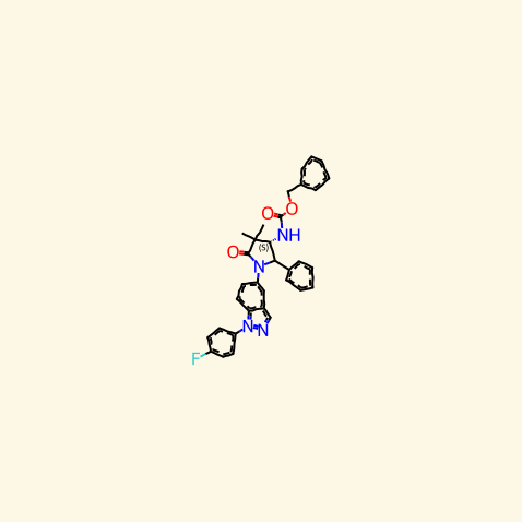 CC1(C)C(=O)N(c2ccc3c(cnn3-c3ccc(F)cc3)c2)C(c2ccccc2)[C@H]1NC(=O)OCc1ccccc1